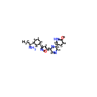 CC(N)c1cccc(-c2cc(-c3cncc(-c4ccc(=O)[nH]c4)n3)on2)c1